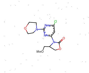 COCC1COC(=O)N1c1cc(Cl)nc(N2CCOCC2)n1